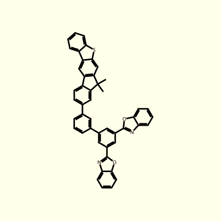 CC1(C)c2cc(-c3cccc(-c4cc(-c5nc6ccccc6o5)cc(-c5nc6ccccc6o5)c4)c3)ccc2-c2cc3c(cc21)sc1ccccc13